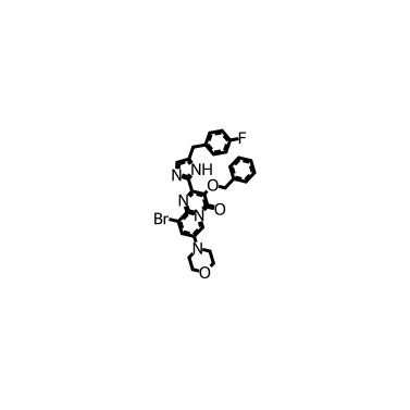 O=c1c(OCc2ccccc2)c(-c2ncc(Cc3ccc(F)cc3)[nH]2)nc2c(Br)cc(N3CCOCC3)cn12